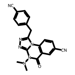 CN(C)n1c(=O)c2cc(C#N)ccc2n2c(Cc3ccc(C#N)cc3)nnc12